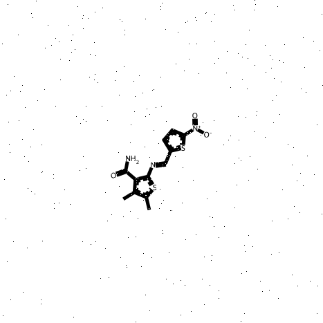 Cc1sc(/N=C/c2ccc([N+](=O)[O-])s2)c(C(N)=O)c1C